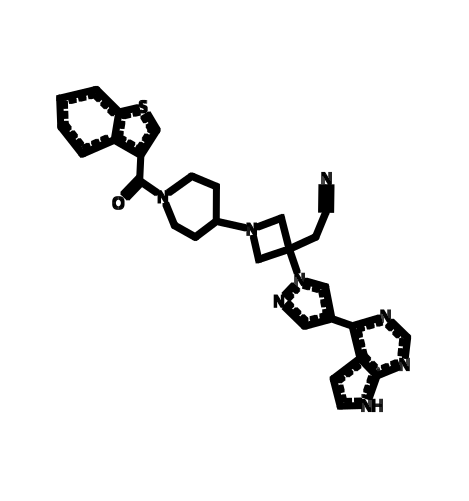 N#CCC1(n2cc(-c3ncnc4[nH]ccc34)cn2)CN(C2CCN(C(=O)c3csc4ccccc34)CC2)C1